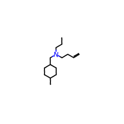 C=CCCN(CCC)CC1CCC(C)CC1